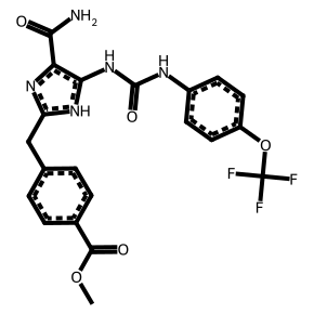 COC(=O)c1ccc(Cc2nc(C(N)=O)c(NC(=O)Nc3ccc(OC(F)(F)F)cc3)[nH]2)cc1